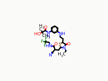 CCN1C(=O)C(CCNc2cccc(NC(=O)C(C)(C)O)c2)SC1CC(C#N)C(=O)NCC(F)(F)F